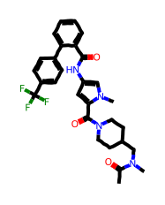 CC(=O)N(C)CC1CCN(C(=O)c2cc(NC(=O)c3ccccc3-c3ccc(C(F)(F)F)cc3)cn2C)CC1